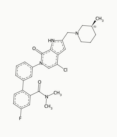 C[C@H]1CCCN(Cc2cc3c(Cl)cn(-c4cccc(-c5ccc(F)cc5C(=O)N(C)C)c4)c(=O)c3[nH]2)C1